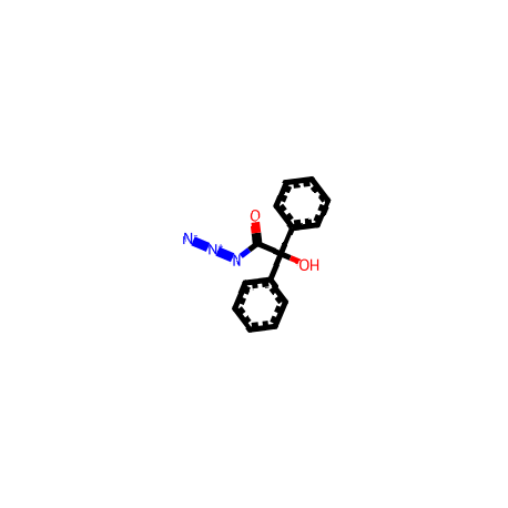 [N-]=[N+]=NC(=O)C(O)(c1ccccc1)c1ccccc1